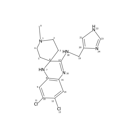 CN1CCC2(CC1)Nc1cc(Cl)c(Cl)cc1N=C2NCc1c[nH]cn1